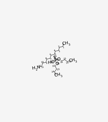 CCCCCCCCCCCCN.CCCCOP(O)(=S)OCCCC